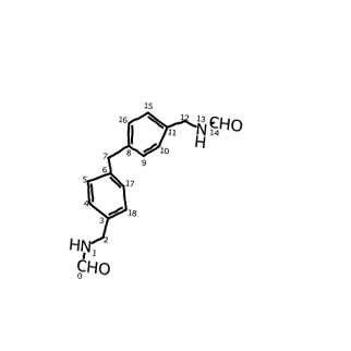 O=CNCc1ccc(Cc2ccc(CNC=O)cc2)cc1